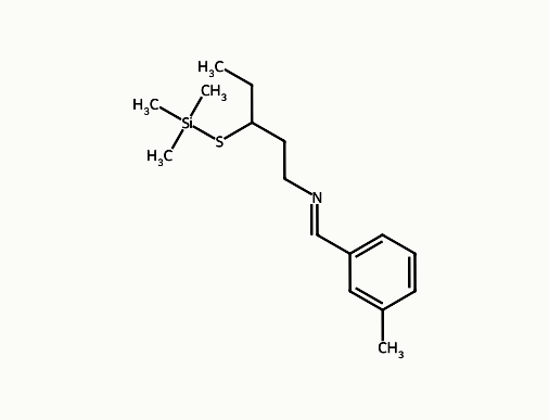 CCC(CCN=Cc1cccc(C)c1)S[Si](C)(C)C